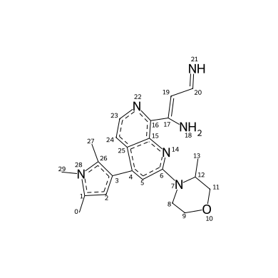 Cc1cc(-c2cc(N3CCOCC3C)nc3c(/C(N)=C/C=N)nccc23)c(C)n1C